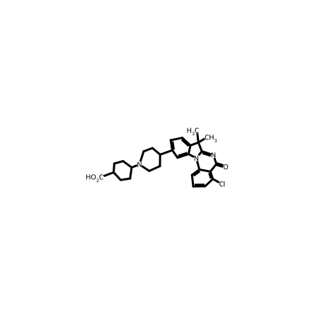 CC1(C)c2ccc(C3CCN(C4CCC(C(=O)O)CC4)CC3)cc2-n2c1nc(=O)c1c(Cl)cccc12